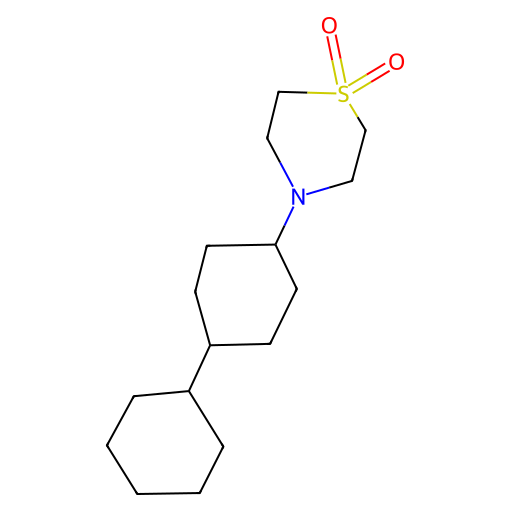 O=S1(=O)CCN(C2CCC(C3CCCCC3)CC2)CC1